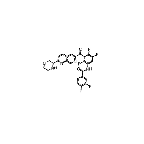 O=C(Nc1cc(F)c(F)c(C(=O)c2cc3ccc(C4COCCN4)nc3cn2)c1F)c1ccc(F)c(F)c1